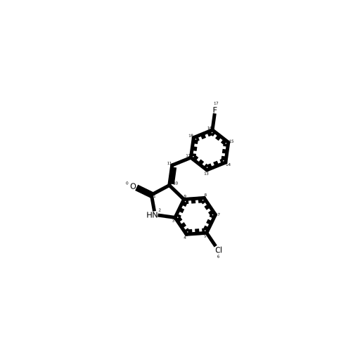 O=C1Nc2cc(Cl)ccc2/C1=C\c1cccc(F)c1